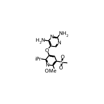 COc1nc(C(C)C)c(Oc2cnc(N)nc2N)cc1S(C)(=O)=O